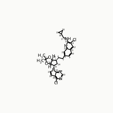 CC1(C)O[C@@H]2[C@@H](CCc3ccc4cc(Cl)c(NCC5CC5)nc4c3)C[C@@H](n3ccc4c(Cl)ncnc43)[C@@H]2O1